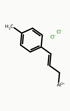 Cc1ccc(C=C[CH2][Al+2])cc1.[Cl-].[Cl-]